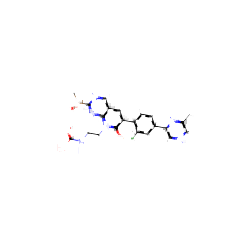 Cc1cncc(-c2ccc(-c3cc4cnc([S+](C)[O-])nc4n(CCNC(=O)O)c3=O)c(Cl)c2)n1